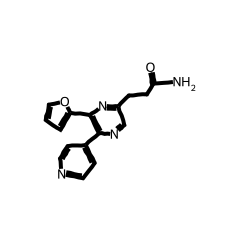 NC(=O)CCc1cnc(-c2ccncc2)c(-c2ccco2)n1